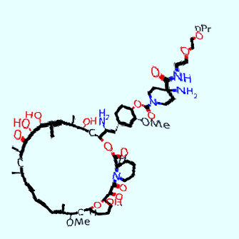 CCCOCCOCCNC(=O)C1(N)CCN(C(=O)O[C@@H]2CC[C@@H](C[C@@H](N)[C@@H]3C[C@@H](O)[C@H](C)/C=C(\C)[C@@H](O)[C@@H](O)C(=O)[C@H](C)C[C@H](C)/C=C/C=C/C=C(\C)[C@@H](OC)C[C@@H]4CC[C@@H](C)[C@@](O)(O4)C(=O)C(=O)N4CCCC[C@H]4C(=O)O3)C[C@H]2OC)CC1